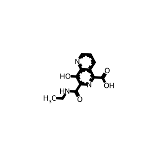 CCNC(=O)c1nc(C(=O)O)c2cccnc2c1O